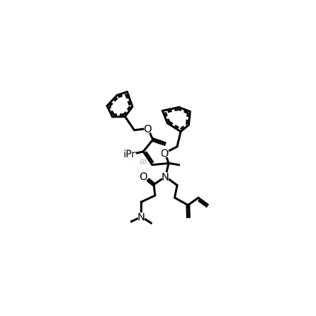 C=CC(=C)CCN(C(=O)CCN(C)C)C(C)(/C=C(\C(=C)OCc1ccccc1)C(C)C)OCc1ccccc1